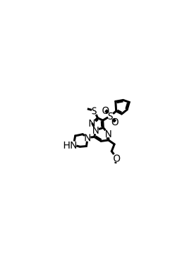 COCCc1cc(N2CCNCC2)n2nc(SC)c(S(=O)(=O)c3ccccc3)c2n1